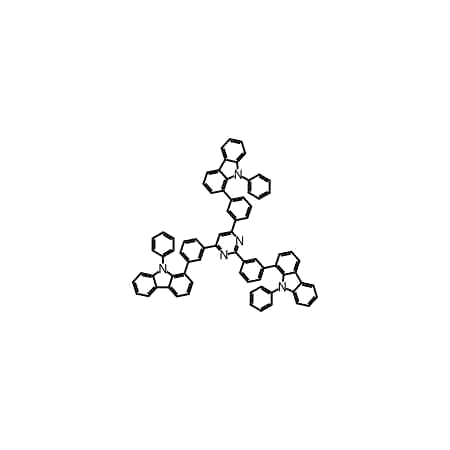 c1ccc(-n2c3ccccc3c3cccc(-c4cccc(-c5cc(-c6cccc(-c7cccc8c9ccccc9n(-c9ccccc9)c78)c6)nc(-c6cccc(-c7cccc8c9ccccc9n(-c9ccccc9)c78)c6)n5)c4)c32)cc1